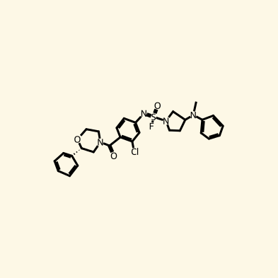 CN(c1ccccc1)C1CCN(S(=O)(F)=Nc2ccc(C(=O)N3CCO[C@@H](c4ccccc4)C3)c(Cl)c2)C1